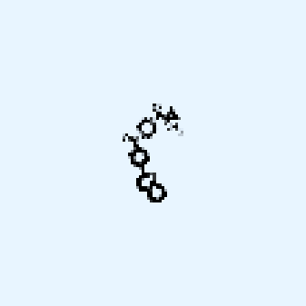 NC1(C(=O)N2CCN(C(=O)c3ccc(-c4ccc5ccccc5n4)cc3)CC2)CC1